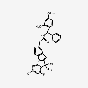 COc1ccc(C(NC(=O)Cc2ccc3oc(C(C)(O)c4cc[n+]([O-])cc4F)cc3c2)c2ccccc2)c(C)c1